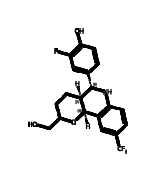 OCC1CC[C@@H]2[C@H](O1)c1cc(C(F)(F)F)ccc1N[C@H]2c1ccc(O)c(F)c1